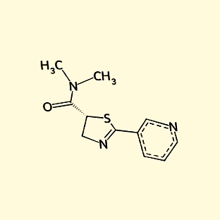 CN(C)C(=O)[C@H]1CN=C(c2cccnc2)S1